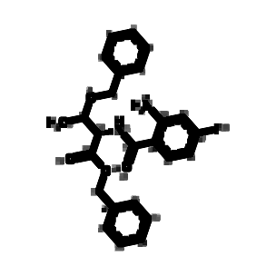 CC(OCc1ccccc1)[C@H](NC(=O)c1ccc(F)cc1N)C(=O)OCc1ccccc1